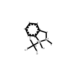 CN1Cc2ccccc2[Si]1(C)C(I)(I)I